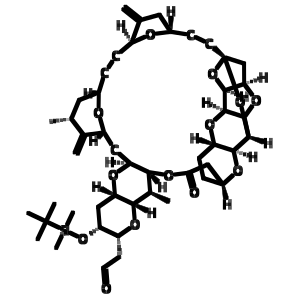 C=C1C[C@@H]2CC[C@@]34C[C@H]5OC6[C@@H](O[C@H]7CC[C@H](CC(=O)O[C@@H]8[C@@H](C)[C@@H]9O[C@H](CC=O)[C@H](O[Si](C)(C)C(C)(C)C)C[C@@H]9O[C@H]8C[C@H]8O[C@@H](CC[C@@H]1O2)C[C@@H](C)C8=C)O[C@@H]7[C@@H]6O3)[C@H]5O4